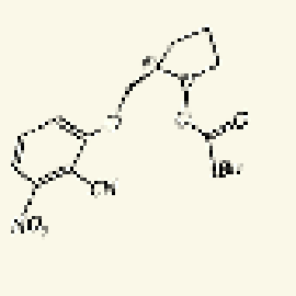 CC(C)(C)C(=O)ON1CCC[C@@H]1COc1cccc([N+](=O)[O-])c1C#N